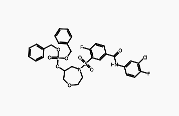 O=C(Nc1ccc(F)c(Cl)c1)c1ccc(F)c(S(=O)(=O)N2CCOCC(OP(=O)(OCc3ccccc3)OCc3ccccc3)C2)c1